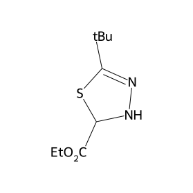 CCOC(=O)C1NN=C(C(C)(C)C)S1